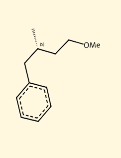 COCC[C@@H](C)Cc1ccccc1